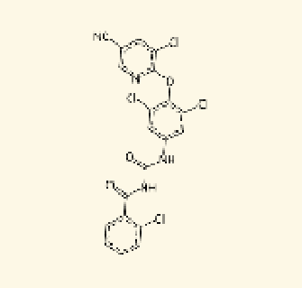 N#Cc1cnc(Oc2c(Cl)cc(NC(=O)NC(=O)c3ccccc3Cl)cc2Cl)c(Cl)c1